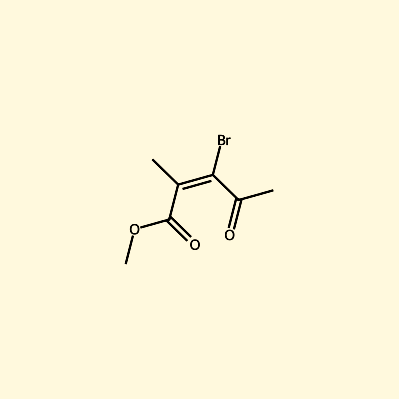 COC(=O)/C(C)=C(/Br)C(C)=O